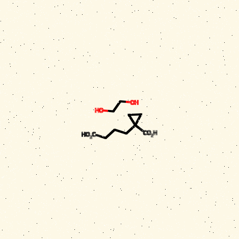 O=C(O)CCCC1(C(=O)O)CC1.OCCO